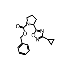 O=C(OCc1ccccc1)N1CCCC1c1nc(C2CC2)no1